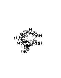 C[C@H](NC(=O)CNc1ncc(CO)s1)C(=O)N[C@@H](C)C(=O)N[C@@H](C)C(=O)N[C@@H](Cc1ccc(O)cc1)C(=O)NCC(=O)OC(C)(C)C